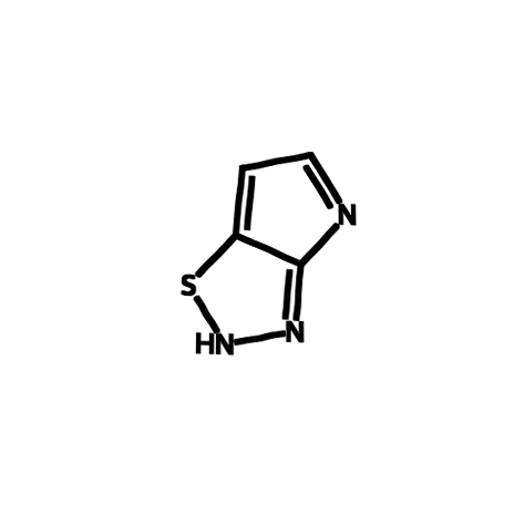 c1cc2s[nH]nc-2n1